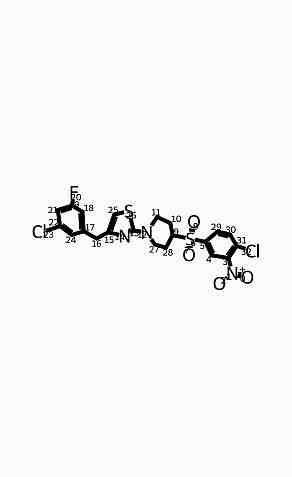 O=[N+]([O-])c1cc(S(=O)(=O)C2CCN(c3nc(Cc4cc(F)cc(Cl)c4)cs3)CC2)ccc1Cl